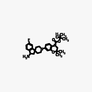 CC(C)(C)OC(=O)N1CC(C)(C)Oc2cc(N3CCC4(CC3)CC(N)c3ccc(F)cc34)ccc21